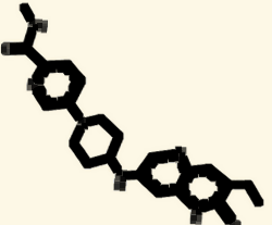 CCc1cc2ncc(NC3CCN(c4ccc(C(=O)NC)nc4)CC3)cc2[nH]c1=O